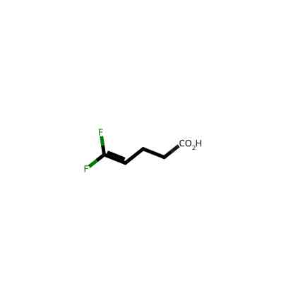 O=C(O)CCC=C(F)F